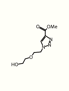 COC(=O)c1cn(CCOCCO)nn1